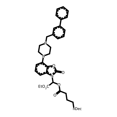 CCCCCCCCCCCCCC(=O)OC(C(=O)OCC)n1c(=O)oc2c(N3CCN(Cc4cccc(-c5ccccc5)c4)CC3)cccc21